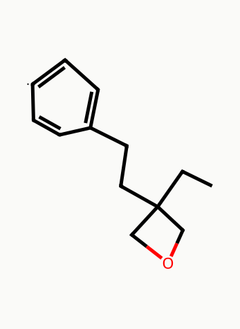 CCC1(CCc2cc[c]cc2)COC1